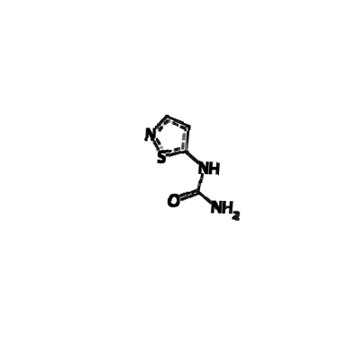 NC(=O)Nc1ccns1